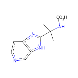 CC(C)(NC(=O)O)c1nc2ccncc2[nH]1